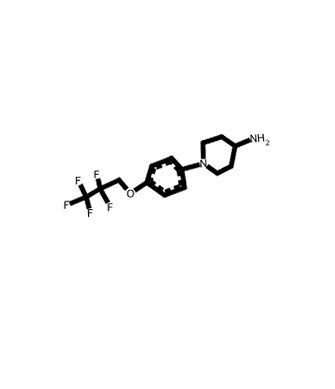 NC1CCN(c2ccc(OCC(F)(F)C(F)(F)F)cc2)CC1